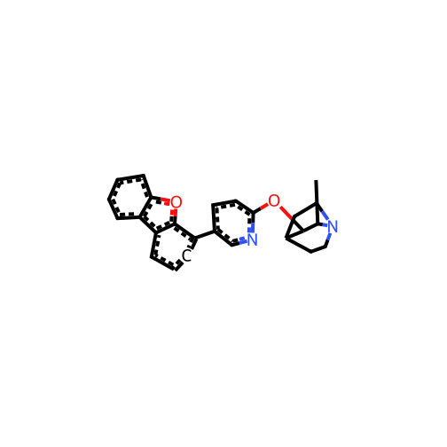 CC1C(Oc2ccc(-c3cccc4c3oc3ccccc34)cn2)C2CCN1CC2